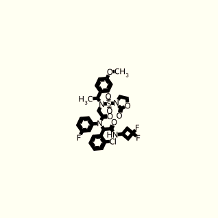 COc1ccc(C(C)N(CC(=O)N(c2cccc(F)c2)C(C(=O)NC2CC(F)(F)C2)c2ccccc2Cl)S(=O)(=O)N2CCOC2=O)cc1